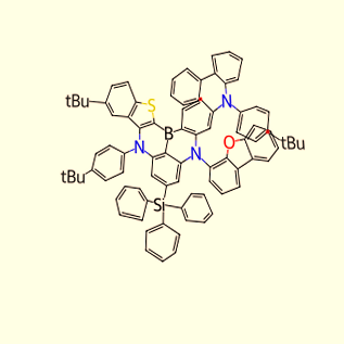 CC(C)(C)c1ccc(N(c2ccc3c(c2)N(c2cccc4c2oc2ccccc24)c2cc([Si](c4ccccc4)(c4ccccc4)c4ccccc4)cc4c2B3c2sc3ccc(C(C)(C)C)cc3c2N4c2ccc(C(C)(C)C)cc2)c2ccccc2-c2ccccc2)cc1